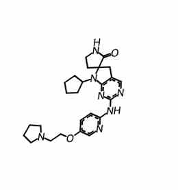 O=C1NCCC12Cc1cnc(Nc3ccc(OCCN4CCCC4)cn3)nc1N2C1CCCC1